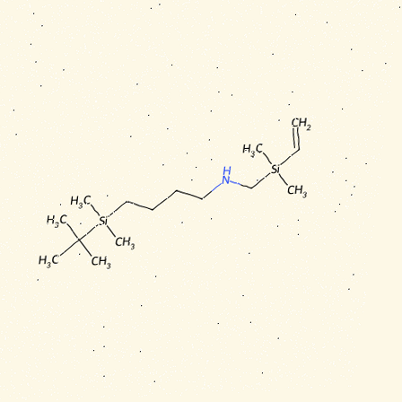 C=C[Si](C)(C)CNCCCC[Si](C)(C)C(C)(C)C